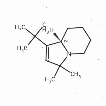 CC(C)(C)C1=CC(C)(C)N2CCCC[C@@H]12